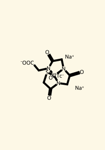 O=C([O-])C[N]1C(=O)C[N]2C(=O)C[N]3C(=O)C[S][99Tc-]132=[O].[Na+].[Na+]